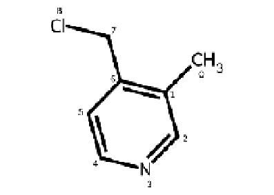 Cc1cnccc1CCl